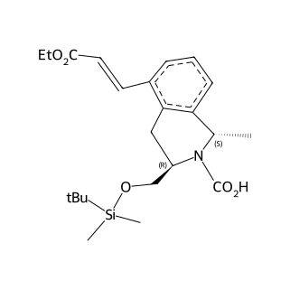 CCOC(=O)C=Cc1cccc2c1C[C@H](CO[Si](C)(C)C(C)(C)C)N(C(=O)O)[C@H]2C